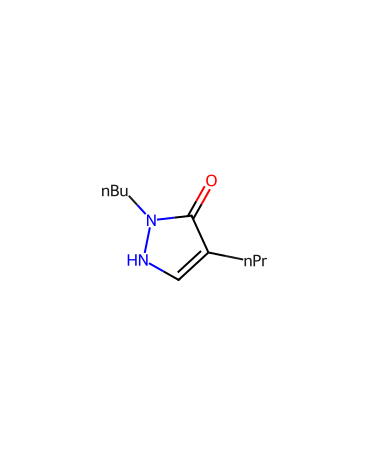 CCCCn1[nH]cc(CCC)c1=O